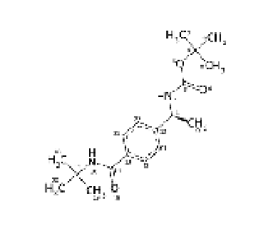 C[C@H](NC(=O)OC(C)(C)C)c1ccc(C(=O)NC(C)(C)C)cc1